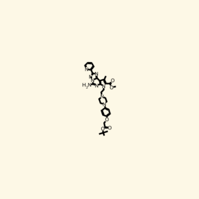 COC(=O)c1c(C)c2c(nc(N)n3nc(-c4ccccn4)nc23)n1CCN1CCN(c2ccc(OCC(=O)OC(C)(C)C)cc2)CC1